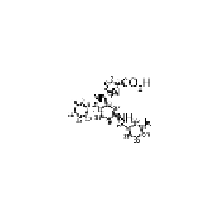 O=C(O)c1csc(-n2nc(-c3ccccc3)c3ccc(NCc4cccc(F)c4)cc32)n1